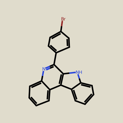 Brc1ccc(-c2nc3ccccc3c3c2[nH]c2ccccc23)cc1